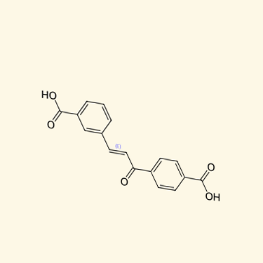 O=C(O)c1ccc(C(=O)/C=C/c2cccc(C(=O)O)c2)cc1